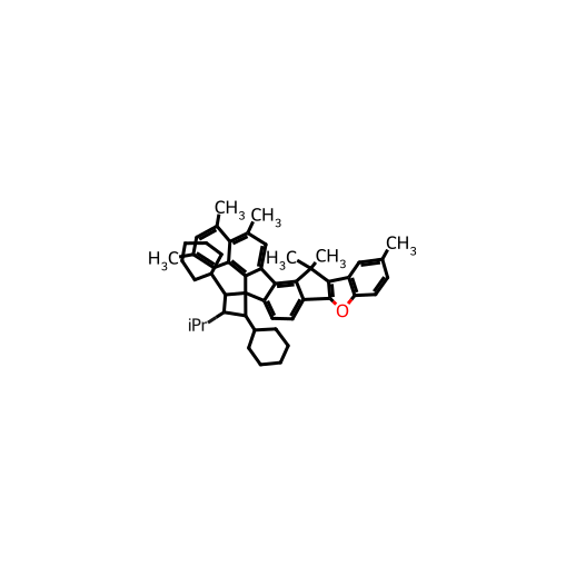 Cc1ccc2oc3c(c2c1)C(C)(C)c1c-3ccc2c1-c1cc(C)c3c(C)cc(C)cc3c1C21C(C2CCCCC2)C(C(C)C)C1C1CCCCC1